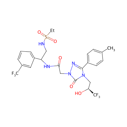 CCS(=O)(=O)NCC(NC(=O)Cn1nc(-c2ccc(C)cc2)n(C[C@H](O)C(F)(F)F)c1=O)c1cccc(C(F)(F)F)c1